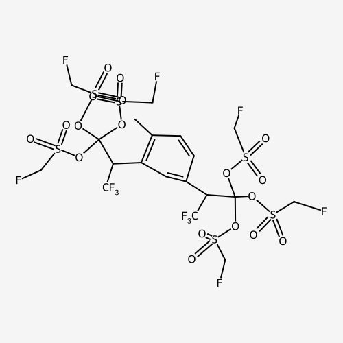 Cc1ccc(C(C(F)(F)F)C(OS(=O)(=O)CF)(OS(=O)(=O)CF)OS(=O)(=O)CF)cc1C(C(F)(F)F)C(OS(=O)(=O)CF)(OS(=O)(=O)CF)OS(=O)(=O)CF